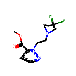 COC(=O)c1ccnn1CCN1CC(F)(F)C1